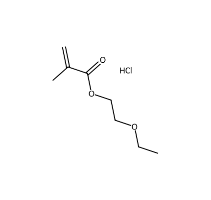 C=C(C)C(=O)OCCOCC.Cl